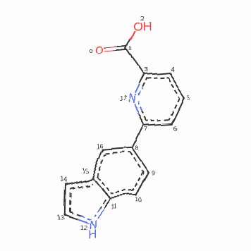 O=C(O)c1cccc(-c2ccc3[nH]ccc3c2)n1